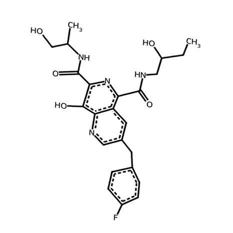 CCC(O)CNC(=O)c1nc(C(=O)NC(C)CO)c(O)c2ncc(Cc3ccc(F)cc3)cc12